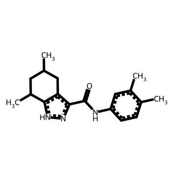 Cc1ccc(NC(=O)c2n[nH]c3c2CC(C)CC3C)cc1C